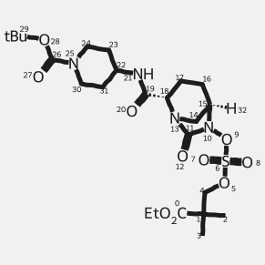 CCOC(=O)C(C)(C)COS(=O)(=O)ON1C(=O)N2C[C@H]1CC[C@H]2C(=O)NC1CCN(C(=O)OC(C)(C)C)CC1